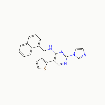 c1csc(-c2cnc(-n3ccnc3)nc2NCc2cccc3ccccc23)c1